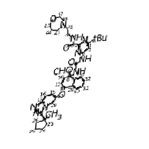 CC(C)(C)c1cc(NC(=O)N[C@@]2(C=O)C=C[C@@H](Oc3ccc4nnc(C5(C)CCCC5)n4c3)c3ccccc32)nc(C(=O)NCCN2CCCOCC2)n1